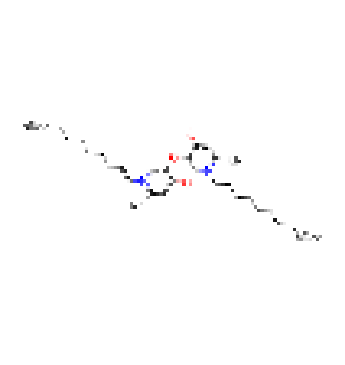 CCCCCCCCCCCCCCCCC=Cn1cc(Oc2cn(C=CCCCCCCCCCCCCCCCC)c(C#N)cc2=O)c(=O)cc1C#N